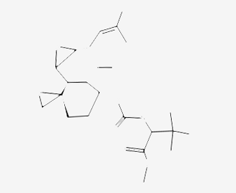 COC(=O)C(NC(=O)O[C@@H]1CC[C@]2(CO2)[C@@H]([C@@]2(C)O[C@@H]2CC=C(C)C)[C@@H]1OC)C(C)(C)C